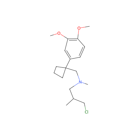 COc1ccc(C2(CN(C)CC(C)CCl)CCC2)cc1OC